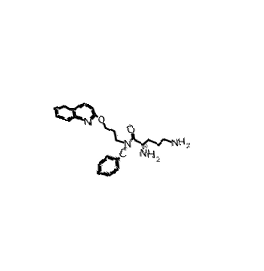 NCCC[C@H](N)C(=O)N(CCCOc1ccc2ccccc2n1)Cc1ccccc1